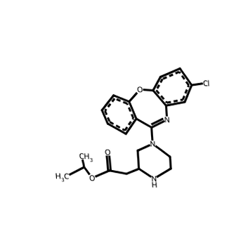 CC(C)OC(=O)CC1CN(C2=Nc3cc(Cl)ccc3Oc3ccccc32)CCN1